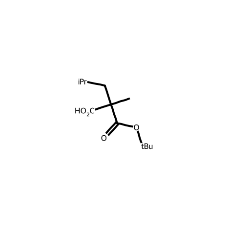 CC(C)CC(C)(C(=O)O)C(=O)OC(C)(C)C